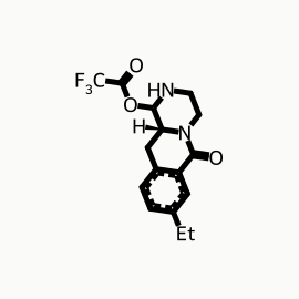 CCc1ccc2c(c1)C(=O)N1CCNC(OC(=O)C(F)(F)F)[C@H]1C2